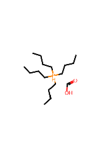 CCCC[PH](CCCC)(CCCC)CCCC.O=CO